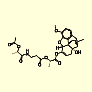 COc1ccc2c3c1O[C@H]1C(OC(=O)[C@H](C)OC(=O)CCNC(=O)[C@H](C)OC(C)=O)=CC[C@]4(O)C(C2)N(C)CC[C@]314